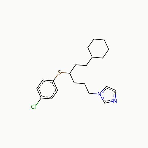 Clc1ccc(SC(CCCn2ccnc2)CCC2CCCCC2)cc1